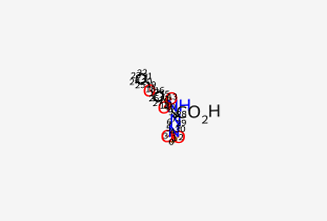 CS(=O)(=O)N1CCN(C(CNS(=O)(=O)c2ccc(OCc3ccccc3)cc2)C(=O)O)CC1